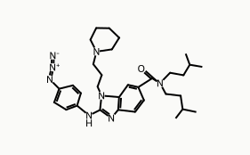 CC(C)CCN(CCC(C)C)C(=O)c1ccc2nc(Nc3ccc(N=[N+]=[N-])cc3)n(CCCN3CCCCC3)c2c1